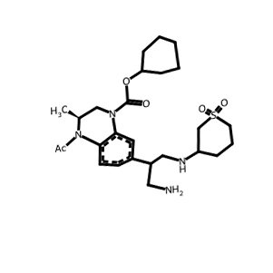 CC(=O)N1c2ccc(C(CN)CNC3CCCS(=O)(=O)C3)cc2N(C(=O)OC2CCCCC2)C[C@@H]1C